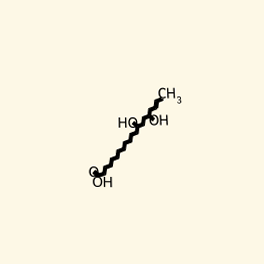 CCC=CCC(O)CCC(O)CCCCCCCCCCCC(=O)O